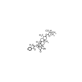 CC(C)C1=C2[C@H]3CCC4[C@@]5(C)CC[C@H](OC(=O)CC(C)(C)C(=O)O)C(C)C5CC[C@@]4(C)[C@]3(C)CC[C@@]2(CCN(C)C(=O)c2ccncc2)CC1=O